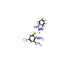 Cc1cc(Cl)cc(CSc2nc3ccccc3[nH]2)c1N